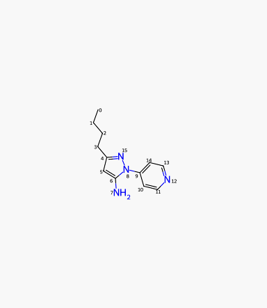 CCCCc1cc(N)n(-c2ccncc2)n1